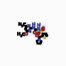 COc1cc(C)nc(NC(=O)NS(=O)(=O)c2ccsc2C(=O)N2CCCC2)n1